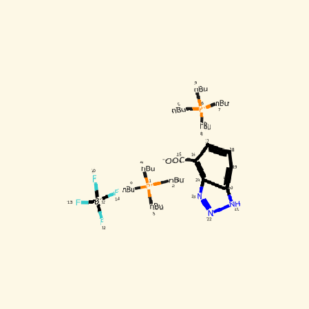 CCCC[P+](CCCC)(CCCC)CCCC.CCCC[P+](CCCC)(CCCC)CCCC.F[B-](F)(F)F.O=C([O-])c1cccc2[nH]nnc12